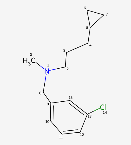 CN(CCCC1CC1)Cc1cccc(Cl)c1